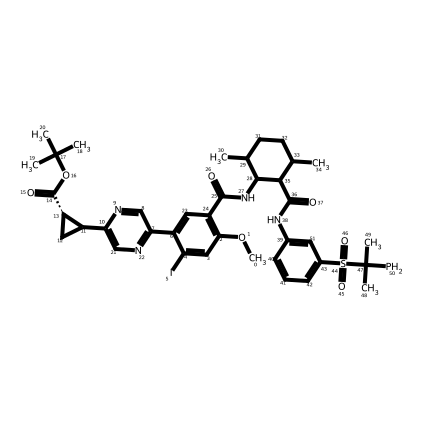 COc1cc(I)c(-c2cnc(C3C[C@@H]3C(=O)OC(C)(C)C)cn2)cc1C(=O)NC1C(C)CCC(C)C1C(=O)Nc1cccc(S(=O)(=O)C(C)(C)P)c1